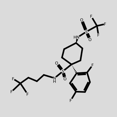 O=S(=O)(N[C@H]1CC[C@@](c2cc(F)ccc2F)(S(=O)(=O)NCCCC(F)(F)F)CC1)C(F)(F)F